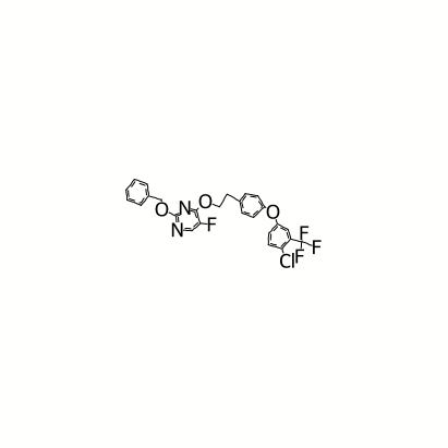 Fc1cnc(OCc2ccccc2)nc1OCCc1ccc(Oc2ccc(Cl)c(C(F)(F)F)c2)cc1